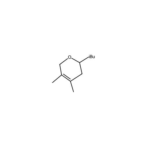 CCC(C)C1CC(C)=C(C)CO1